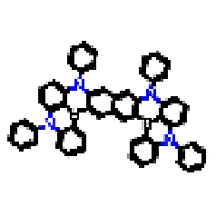 c1ccc(N2c3ccccc3B3c4cc5cc6c(cc5cc4N(c4ccccc4)c4cccc2c43)N(c2ccccc2)c2cccc3c2B6c2ccccc2N3c2ccccc2)cc1